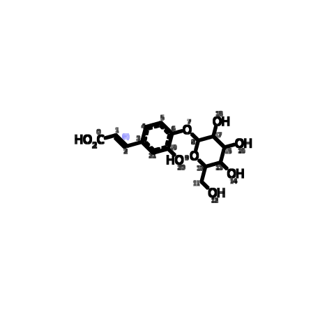 O=C(O)/C=C/c1ccc(OC2OC(CO)C(O)C(O)C2O)c(O)c1